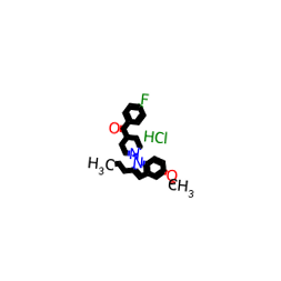 CCCc1cc2cc(OC)ccc2n1N1CCC(C(=O)c2ccc(F)cc2)CC1.Cl